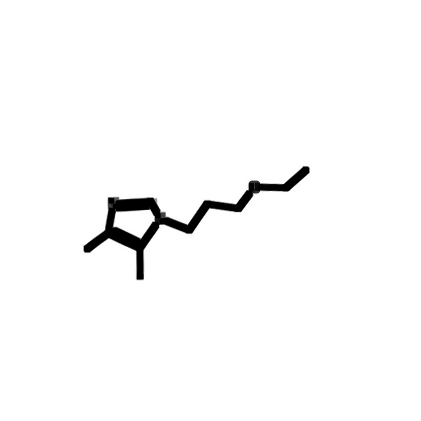 CCOCCCn1[c]nc(C)c1C